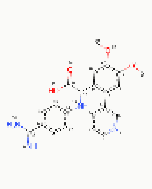 COc1cc(-c2cccnc2)c(C(Nc2ccc(C(=N)N)cc2)C(=O)O)cc1OC